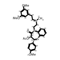 COc1ccc([C@@H]2Sc3ccccc3N(CCN(C)CCc3cc(OC)cc(OC)c3)C(=O)[C@@H]2OC(C)=O)cc1